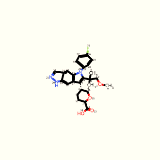 COCC(C)(C)c1c([C@H]2CCC(C(=O)O)OC2)c2cc3[nH]ncc3cc2n1-c1ccc(F)cc1